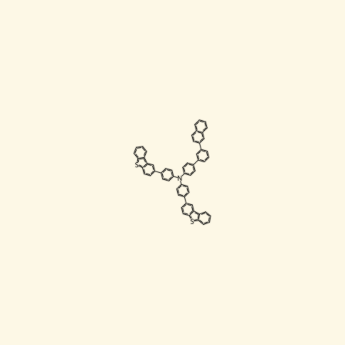 c1cc(-c2ccc(N(c3ccc(-c4ccc5sc6ccccc6c5c4)cc3)c3ccc(-c4ccc5sc6ccccc6c5c4)cc3)cc2)cc(-c2ccc3ccccc3c2)c1